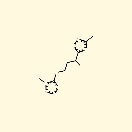 Cc1nnc(C(S)CCSc2nnnn2C)o1